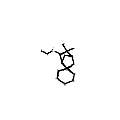 CCOC1C2CC(CC23CCCCC3)C1(C)C